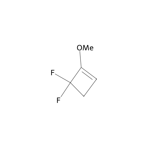 COC1=CCC1(F)F